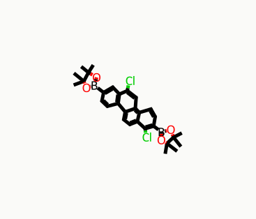 CC1(C)OB(c2ccc3c(c2)c(Cl)cc2c4ccc(B5OC(C)(C)C(C)(C)O5)c(Cl)c4ccc32)OC1(C)C